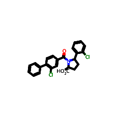 O=C(O)C1CCC(c2ccccc2Cl)N1C(=O)c1ccc(-c2ccccc2)c(Cl)c1